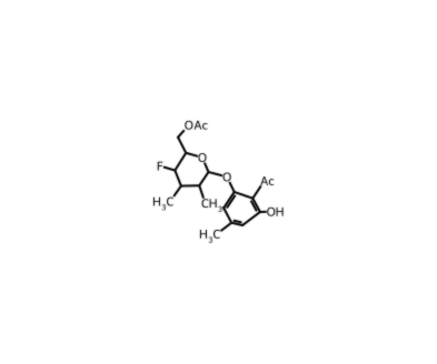 CC(=O)OCC1OC(Oc2cc(C)cc(O)c2C(C)=O)C(C)C(C)C1F